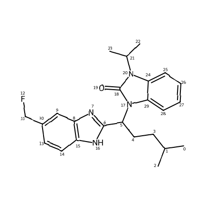 CC(C)CCC(c1nc2cc(CF)ccc2[nH]1)n1c(=O)n(C(C)C)c2ccccc21